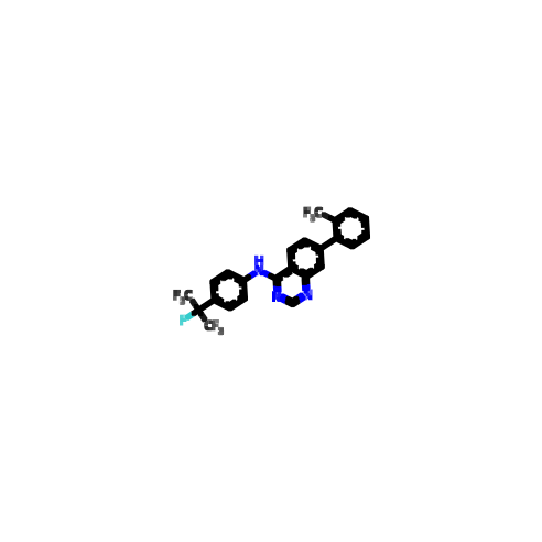 FC(F)(F)c1ccccc1-c1ccc2c(Nc3ccc(C(F)(C(F)(F)F)C(F)(F)F)cc3)ncnc2c1